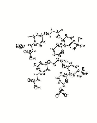 Cc1cc(OCCC(C)Oc2ccc(C(F)(F)F)cc2-c2ccccn2)ccc1CCC(=O)O.Cc1cc(OCCC(C)Oc2ccc(C(F)(F)F)cc2-c2ccccn2)ccc1CCC(=O)O.O=C([O-])[O-].[Cs+].[Cs+]